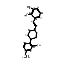 Cc1ccc(C2CCC(/C=C/c3cccc(F)c3F)CC2)c(F)c1